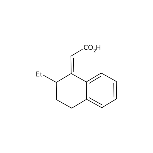 CCC1CCc2ccccc2C1=CC(=O)O